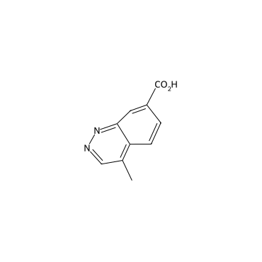 Cc1cnnc2cc(C(=O)O)ccc12